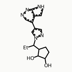 CCC(C1CCC(O)C1O)n1cc(-c2cnnc3[nH]ccc23)cn1